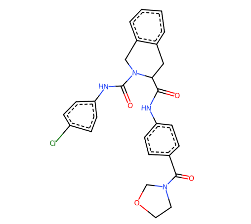 O=C(Nc1ccc(C(=O)N2CCOC2)cc1)C1Cc2ccccc2CN1C(=O)Nc1ccc(Cl)cc1